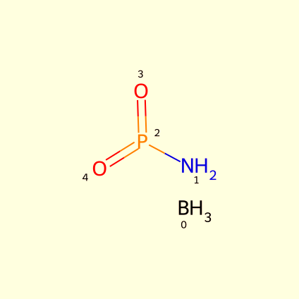 B.NP(=O)=O